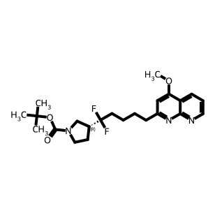 COc1cc(CCCCC(F)(F)[C@@H]2CCN(C(=O)OC(C)(C)C)C2)nc2ncccc12